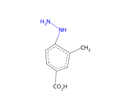 Cc1cc(C(=O)O)ccc1NN